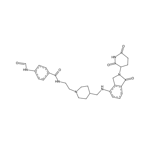 O=CNc1ccc(C(=O)NCCN2CCC(CNc3cccc4c3CN(C3CCC(=O)NC3=O)C4=O)CC2)cc1